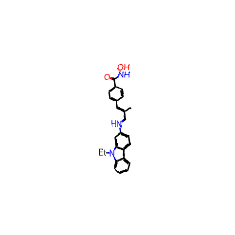 CCn1c2ccccc2c2ccc(NCC(C)=Cc3ccc(C(=O)NO)cc3)cc21